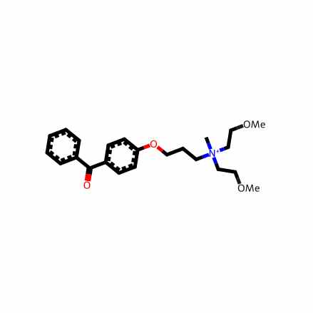 COCC[N+](C)(CCCOc1ccc(C(=O)c2ccccc2)cc1)CCOC